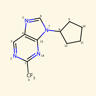 FC(F)(F)c1ncc2ncn(C3CCCC3)c2n1